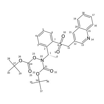 C[C@@H](c1ccccc1S(=O)(=O)Cc1cnc2ccccc2c1)N(OC(=O)OC(C)(C)C)C(=O)OC(C)(C)C